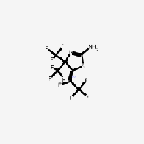 NC1=NC(C(F)(F)F)(C(F)(F)F)/C(=C(\F)C(F)(F)F)S1